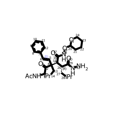 CC(=O)NCC(=O)C(/C=C/c1ccccc1)(CC(C)C)[C@@H](C(=O)NOC1CCCCO1)[C@@H](CC(C)C)C(=O)NN